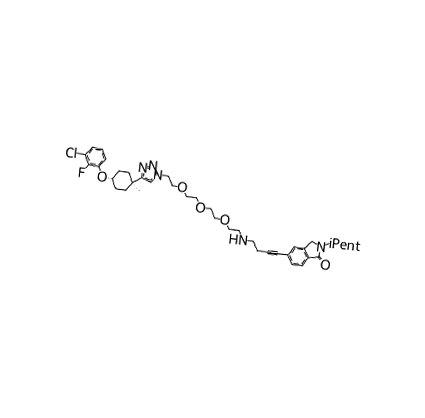 CCCC(C)N1Cc2cc(C#CCCNCCOCCOCCOCCn3cc([C@]4(C)CC[C@@H](Oc5cccc(Cl)c5F)CC4)nn3)ccc2C1=O